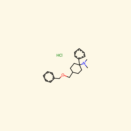 CN(C)C1(c2ccccc2)CCC(COCc2ccccc2)CC1.Cl